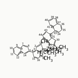 CC1=Cc2c(-c3ccc4ccccc4c3)ccc(C)c2[CH]1[Zr]([CH3])([CH3])(=[SiH2])[CH]1C(C(C)C)=Cc2c(-c3cccc4ccccc34)cccc21